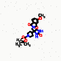 COc1ccc2c(c1)CN(CC1(C3CCN(C(=O)OC(C)(C)C)CC3)NC(=O)NC1=O)C2=O